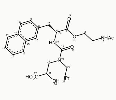 CC(=O)NCCOC(=O)[C@H](Cc1ccc2ccccc2c1)NC(=O)N(CC(C)C)CC(O)C(=O)O